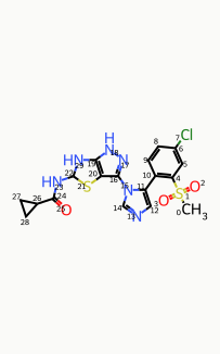 CS(=O)(=O)c1cc(Cl)ccc1-c1cncn1-c1n[nH]c2c1SC(NC(=O)C1CC1)N2